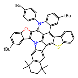 CC(C)(C)c1ccc(N2B3c4oc5ccc(C(C)(C)C)cc5c4-n4c5cc6c(cc5c5c7sc8ccccc8c7c(c3c54)-c3cc(C(C)(C)C)ccc32)C(C)(C)CCC6(C)C)cc1